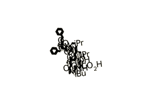 CC[C@H](C)[C@@H](C(=O)N[C@@H](CO)C(=O)O)N(C)C(=O)CN(C)C(=O)[C@@H](NC(=O)[C@H](CC(C)C)N(C)C(=O)[C@H](CC(C)C)NC(=O)[C@H](Cc1ccccc1)N(C)C(=O)OCc1ccccc1)C(C)C